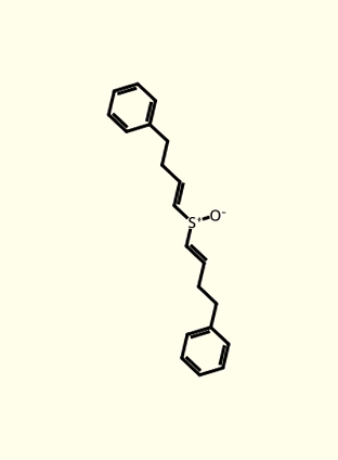 [O-][S+](C=CCCc1ccccc1)C=CCCc1ccccc1